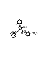 CCOC(=O)c1cccc(NC(=O)c2c(COC34CC5CC(CC(C5)C3)C4)nn(-c3ccccc3C)c2O)c1